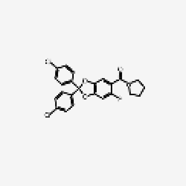 O=C(c1cc2c(cc1F)OC(c1ccc(Cl)cc1)(c1ccc(Cl)cc1)O2)N1CCCC1